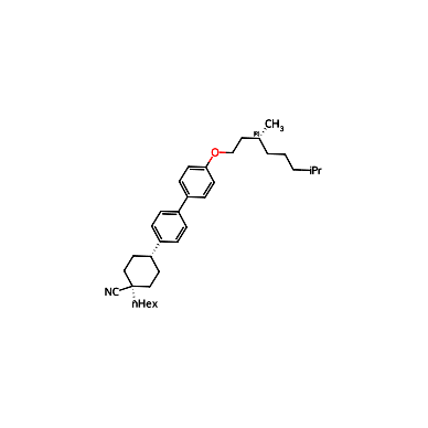 CCCCCC[C@]1(C#N)CC[C@H](c2ccc(-c3ccc(OCC[C@H](C)CCCC(C)C)cc3)cc2)CC1